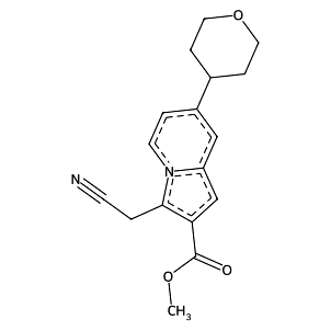 COC(=O)c1cc2cc(C3CCOCC3)ccn2c1CC#N